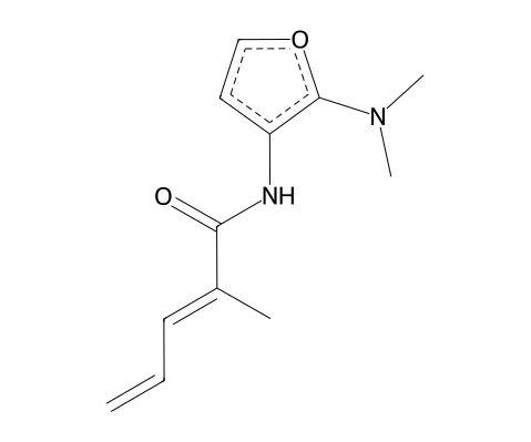 C=C/C=C(\C)C(=O)Nc1ccoc1N(C)C